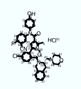 Cc1c(C(=O)N(c2ccc(O)cc2)c2ccc(F)c(C#N)c2)cc(-c2cc(Cl)ccc2C(=O)N2Cc3ccccc3C[C@H]2CN2CCOCC2)n1C.Cl